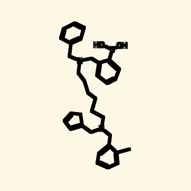 Cc1ccccc1CN(CCCCCCN(Cc1ccccc1)Cc1ccccc1B(O)O)CC1=CC=CC1